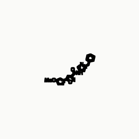 CO[C@H]1CCN(c2cc(C(=O)Nc3cnn(Cc4ccccc4)c3)no2)C1